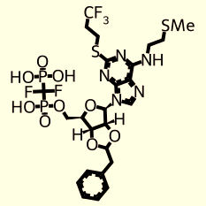 CSCCNc1nc(SCCC(F)(F)F)nc2c1ncn2[C@@H]1O[C@H](COP(=O)(O)C(F)(F)P(=O)(O)O)[C@H]2OC(Cc3ccccc3)O[C@H]21